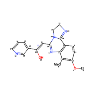 CCOc1ccc2c(c1OC)N=C(/C=C(\O)c1cccnc1)N1CCN=C21